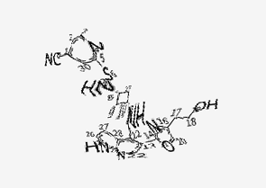 N#Cc1ccnc(SN[C@H]2C[C@@H](Nc3c(-c4nc(CCO)co4)cnc4[nH]ccc34)C2)c1